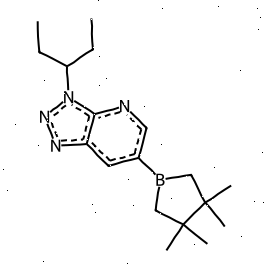 CCC(CC)n1nnc2cc(B3CC(C)(C)C(C)(C)C3)cnc21